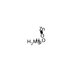 O.[MgH2].[O]=[Zn]